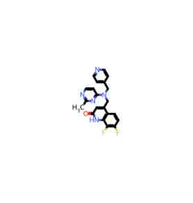 Cc1nccc(N(Cc2ccncc2)Cc2cc(=O)[nH]c3c(F)c(F)ccc23)n1